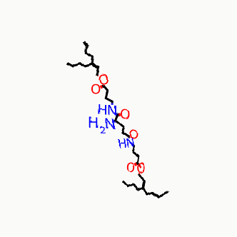 CCCCC(=CCOC(=O)CCCNC(=O)CCC(N)C(=O)NCCCC(=O)OCC=C(CCCC)CCCC)CCCC